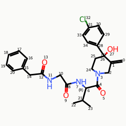 C=C1CN(C(=O)[C@H](NC(=O)CNC(=O)Cc2ccccc2)C(C)C)CC[C@]1(O)c1ccc(Cl)cc1